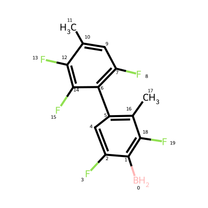 Bc1c(F)cc(-c2c(F)cc(C)c(F)c2F)c(C)c1F